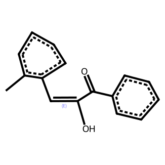 Cc1ccccc1/C=C(/O)C(=O)c1ccccc1